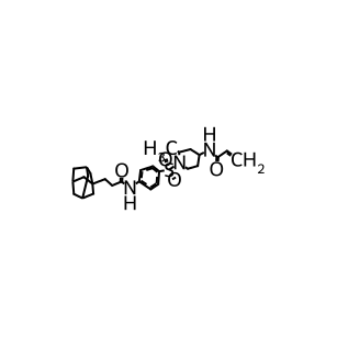 C=CC(=O)NC1CCN(S(=O)(=O)c2ccc(NC(=O)CCC34CC5CC(CC(C5)C3)C4)cc2)C(C)C1